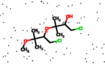 COC(C)(C)C(CCl)OC(C)(C)C(O)CCl